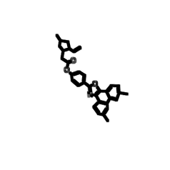 C=CC1CC(C)CC1CC(=O)Oc1ccc(-c2nc3c4ccc(C)cc4c4cc(C)ccc4c3o2)cc1